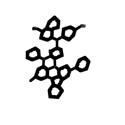 Cc1cc2c3c(c1)-n1c4ccccc4c4cc(-c5ccccc5)cc(c41)B3c1ccc(N(c3ccc(C(C)(C)C)cc3)c3ccc(C(C)(C)C)c4ccccc34)nc1N2c1ccccc1